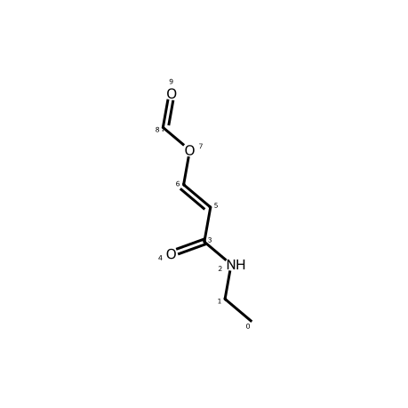 CCNC(=O)C=CO[C]=O